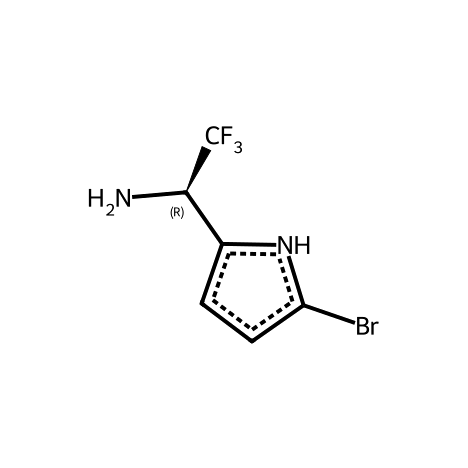 N[C@H](c1ccc(Br)[nH]1)C(F)(F)F